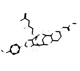 C=C(I)C[C@H](Cl)CC[C@@]12O[C@@H]3CC(OC4CC[C@H](CC(=O)OC)O[C@@H]43)[C@H](O1)[C@@]1(O)O[C@@H](c3ccc(OC)cc3)OC21